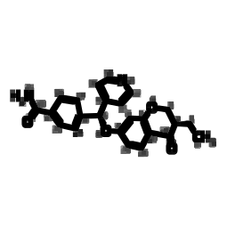 CC[C@@H]1COc2cc(O[C@H](c3ccncc3)c3ccc(C(N)=O)cc3)ccc2C1=O